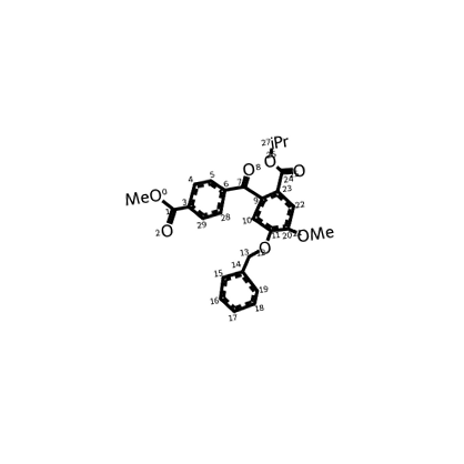 COC(=O)c1ccc(C(=O)c2cc(OCc3ccccc3)c(OC)cc2C(=O)OC(C)C)cc1